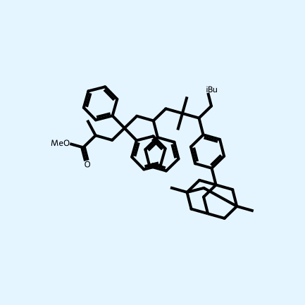 CCC(C)CC(c1ccc(C23CC4CC(C)(CC(C)(C4)C2)C3)cc1)C(C)(C)CC(CC(CC(C)C(=O)OC)(c1ccccc1)c1ccccc1)c1ccccc1